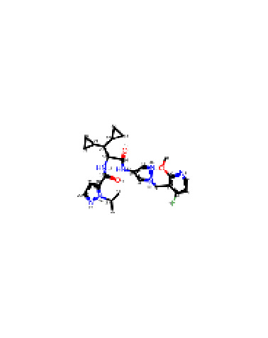 COc1nccc(F)c1Cn1cc(NC(=O)[C@@H](NC(=O)c2ccnn2C(C)C)C(C2CC2)C2CC2)cn1